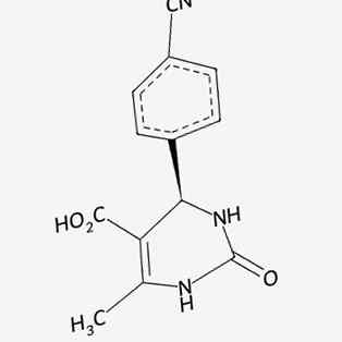 CC1=C(C(=O)O)[C@@H](c2ccc(C#N)cc2)NC(=O)N1